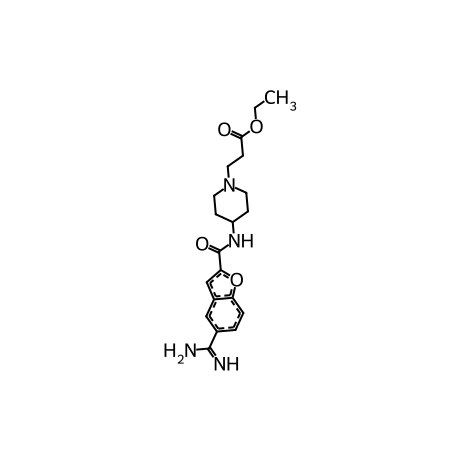 CCOC(=O)CCN1CCC(NC(=O)c2cc3cc(C(=N)N)ccc3o2)CC1